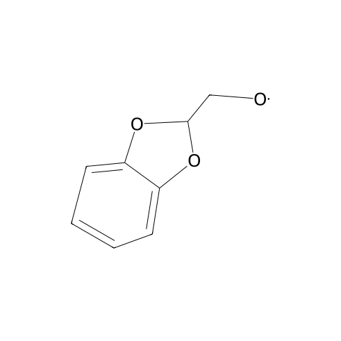 [O]CC1Oc2ccccc2O1